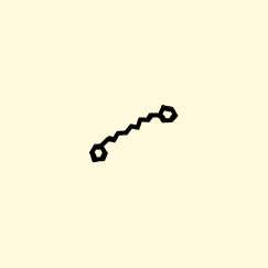 C(=Cc1ccccc1)CCCCCC=Cc1ccccc1